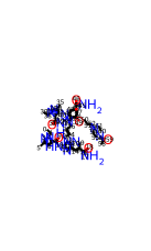 CCn1nc(C)cc1C(=O)Nc1nc2cc(C(N)=O)cnc2n1C/C=C/Cn1c(NC(=O)c2cc(C)nn2CC)nc2cc(C(N)=O)cc(OCCCN3CCN(C(C)=O)CC3)c21